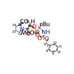 CCCCC(NC(=O)OCc1ccccc1)P(=O)(OC)O[C@@H](C)C(=O)N1CCC[C@H]1C(=O)O